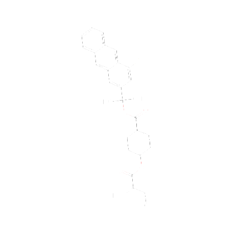 CCC(C)C(=O)OC1CCC(C(=O)OC(C)(C)c2cc(S)c3cc4ccccc4cc3c2)CC1